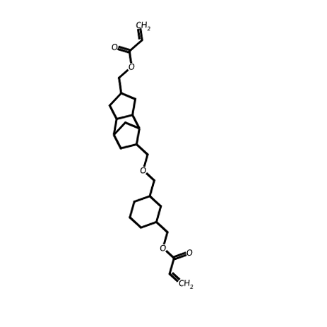 C=CC(=O)OCC1CCCC(COCC2CC3CC2C2CC(COC(=O)C=C)CC32)C1